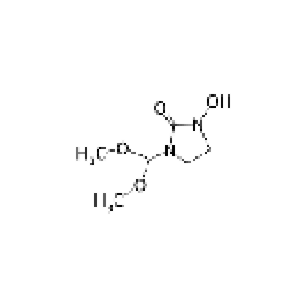 COC(OC)N1CCN(O)C1=O